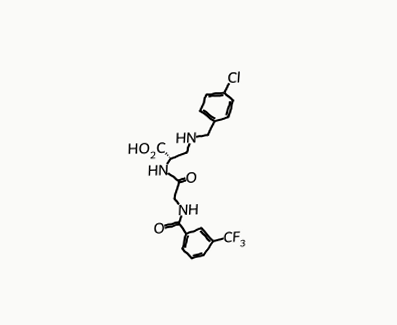 O=C(CNC(=O)c1cccc(C(F)(F)F)c1)N[C@@H](CNCc1ccc(Cl)cc1)C(=O)O